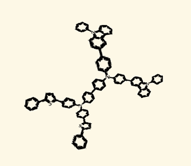 c1ccc(-c2ccc(-c3ccc(N(c4ccc(-c5ccc(N(c6ccc(-c7ccc8c(c7)c7ccccc7n8-c7ccccc7)cc6)c6ccc(-c7ccc8c(c7)c7ccccc7n8-c7ccccc7)cc6)cc5)cc4)c4ccc(-c5ccc(-c6ccccc6)s5)cc4)cc3)s2)cc1